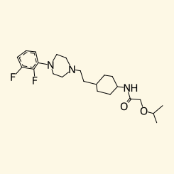 CC(C)OCC(=O)NC1CCC(CCN2CCN(c3cccc(F)c3F)CC2)CC1